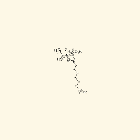 CCCCCCCCCCCCCCCCCCC(C(=O)O)[N+](C)(C)C(=N)N